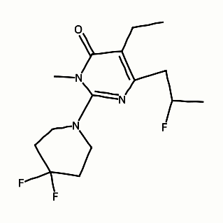 CCc1c(CC(C)F)nc(N2CCC(F)(F)CC2)n(C)c1=O